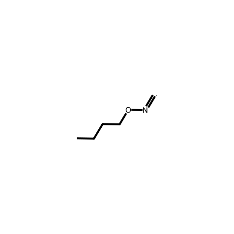 [CH]=NOCCCC